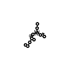 CC1(C)c2ccccc2-c2ccc(-c3nc(-c4ccc(-c5ccccc5)cc4)nc(-c4ccc5oc6cc(-c7ccc(-c8cccc9ccccc89)cc7)c7ccccc7c6c5c4)n3)cc21